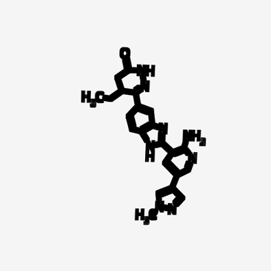 CCC1CC(=O)NN=C1c1ccc2[nH]c(-c3cc(-c4cnn(C)c4)cnc3N)nc2c1